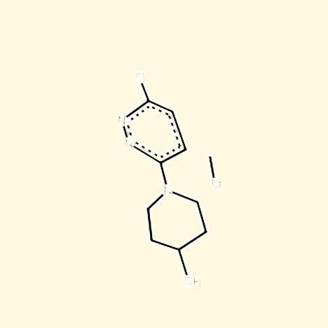 CCC.OC1CCN(c2ccc(Cl)nn2)CC1